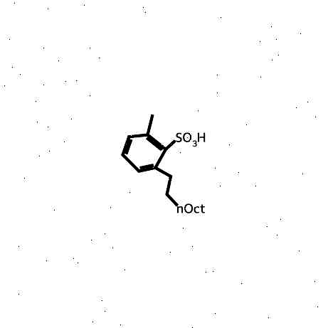 CCCCCCCCCCc1cccc(C)c1S(=O)(=O)O